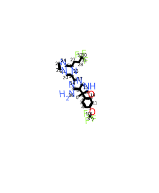 CC1(c2ccc(OC(F)(F)F)cc2)C(=O)Nc2nc(-c3cn4ccnc4c(CCC(F)(F)F)n3)nc(N)c21